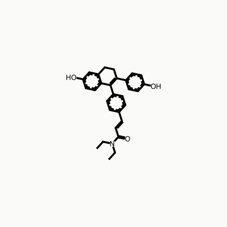 CCN(CC)C(=O)C=Cc1ccc(C2=C(c3ccc(O)cc3)CCc3cc(O)ccc32)cc1